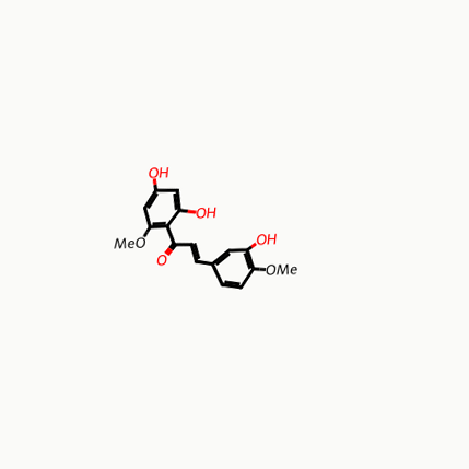 COc1ccc(C=CC(=O)c2c(O)cc(O)cc2OC)cc1O